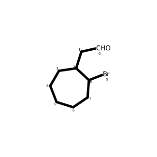 O=CCC1CCCCCC1Br